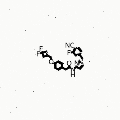 N#Cc1ccc(Cn2ccc(NC(=O)Cc3ccc(OCC4CC(F)(F)C4)cc3)n2)cc1F